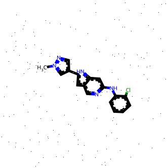 Cn1cc(-c2cc3cnc(Nc4ccccc4Cl)cc3[nH]2)cn1